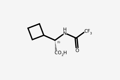 O=C(O)[C@@H](NC(=O)C(F)(F)F)C1CCC1